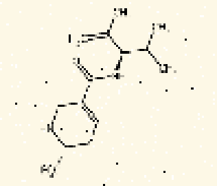 C=C(C)[C@H](NC(=O)C1=CC[C@H](C)NC1)C(C)C